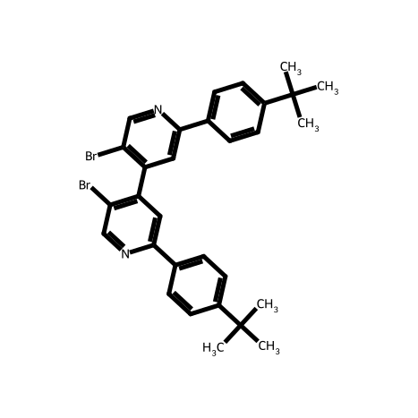 CC(C)(C)c1ccc(-c2cc(-c3cc(-c4ccc(C(C)(C)C)cc4)ncc3Br)c(Br)cn2)cc1